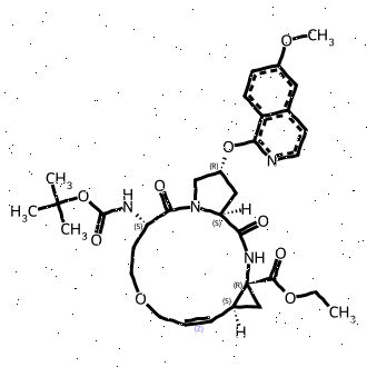 CCOC(=O)[C@@]12C[C@H]1/C=C\COCC[C@H](NC(=O)OC(C)(C)C)C(=O)N1C[C@H](Oc3nccc4cc(OC)ccc34)C[C@H]1C(=O)N2